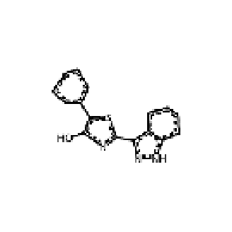 Oc1nc(-c2n[nH]c3ccccc23)sc1-c1ccccc1